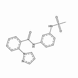 CS(=O)(=O)Nc1cccc(NC(=O)c2ccccc2-n2cccn2)c1